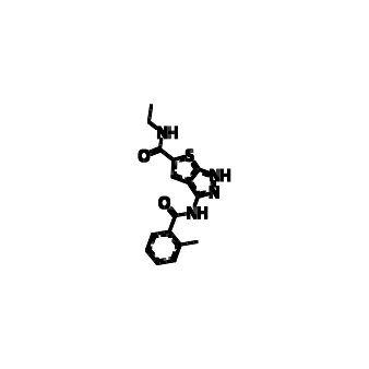 CCNC(=O)c1cc2c(NC(=O)c3ccccc3C)n[nH]c2s1